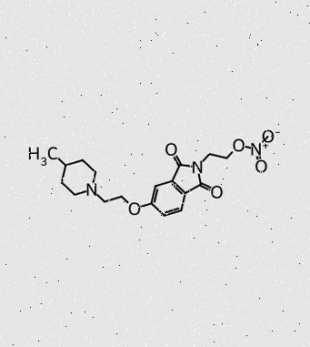 CC1CCN(CCOc2ccc3c(c2)C(=O)N(CCO[N+](=O)[O-])C3=O)CC1